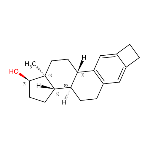 C[C@]12CC[C@@H]3c4cc5c(cc4CC[C@H]3[C@@H]1CC[C@H]2O)CC5